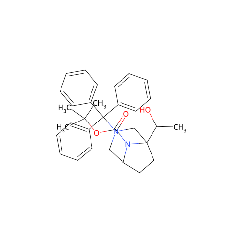 CC(O)C12CCC(CN(C(c3ccccc3)(c3ccccc3)c3ccccc3)C1)N2C(=O)OC(C)(C)C